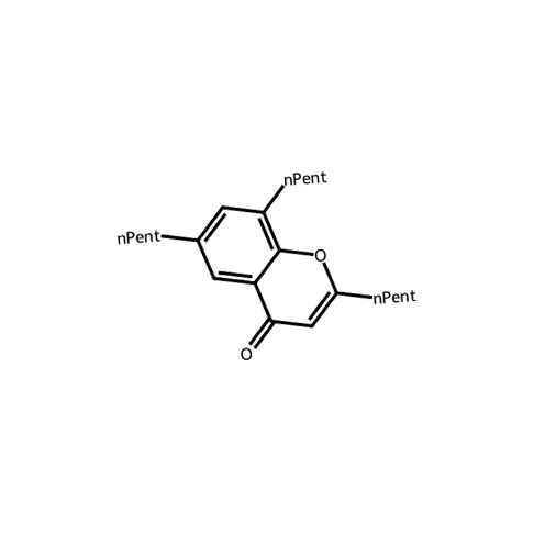 CCCCCc1cc(CCCCC)c2oc(CCCCC)cc(=O)c2c1